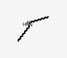 CCCCCCCCCCCc1n[nH]c(CCCCCCCCCCC)n1